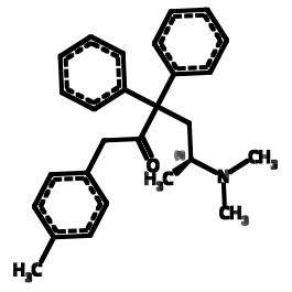 Cc1ccc(CC(=O)C(C[C@H](C)N(C)C)(c2ccccc2)c2ccccc2)cc1